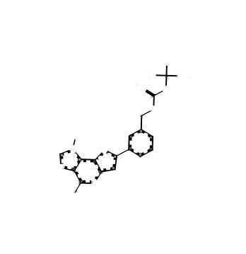 Cn1cnc2c(Cl)nc3cc(-c4cccc(CNC(=O)OC(C)(C)C)c4)sc3c21